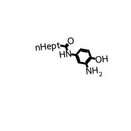 CCCCCCCC(=O)Nc1ccc(O)c(N)c1